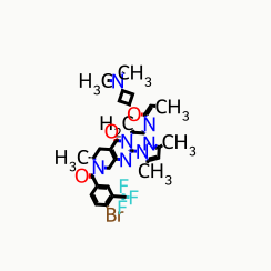 C=C(/C=N\C(=C/C)O[C@H]1C[C@@H](N(C)C)C1)n1c(-n2nc(C)cc2C)nc2c(c1=O)C[C@@H](C)N(C(=O)c1ccc(Br)c(C(F)(F)F)c1)C2